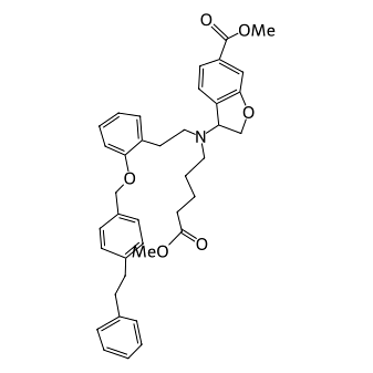 COC(=O)CCCCN(CCc1ccccc1OCc1ccc(CCc2ccccc2)cc1)C1COc2cc(C(=O)OC)ccc21